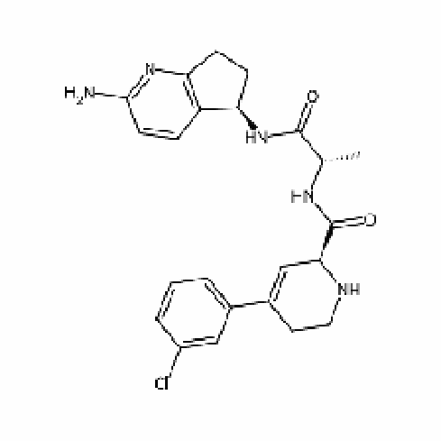 C[C@H](NC(=O)[C@@H]1C=C(c2cccc(Cl)c2)CCN1)C(=O)N[C@@H]1CCc2nc(N)ccc21